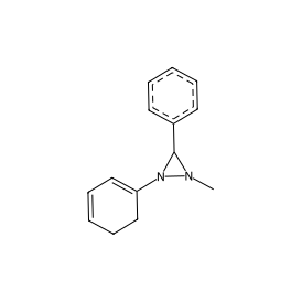 CN1C(c2ccccc2)N1C1=CC=CCC1